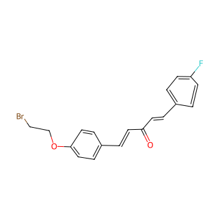 O=C(C=Cc1ccc(F)cc1)C=Cc1ccc(OCCBr)cc1